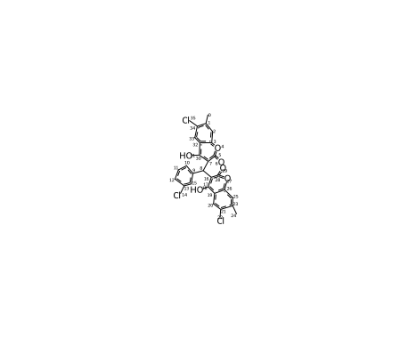 Cc1cc2oc(=O)c(C(c3cccc(Cl)c3)c3c(O)c4cc(Cl)c(C)cc4oc3=O)c(O)c2cc1Cl